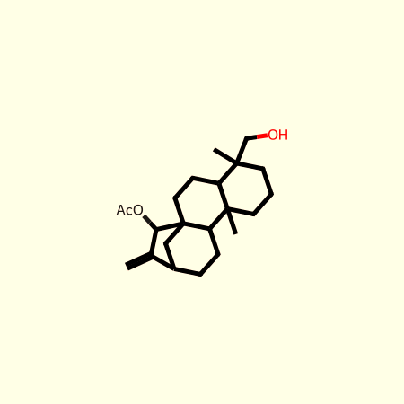 C=C1C2CCC3C4(C)CCCC(C)(CO)C4CCC3(C2)C1OC(C)=O